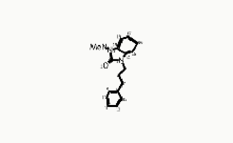 CNn1c(=O)n(CCCc2ccccc2)c2ccccc21